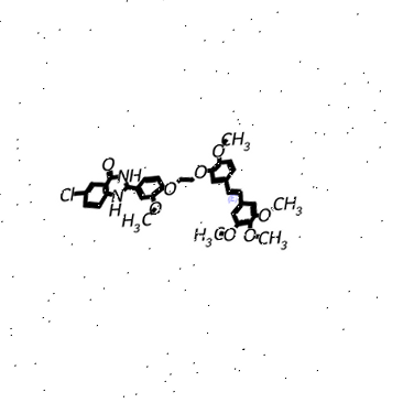 COc1cc(C2NC(=O)c3cc(Cl)ccc3N2)ccc1OCCOc1cc(/C=C/c2cc(OC)c(OC)c(OC)c2)ccc1OC